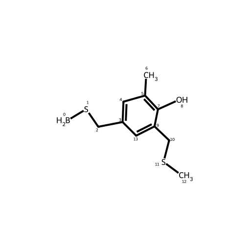 BSCc1cc(C)c(O)c(CSC)c1